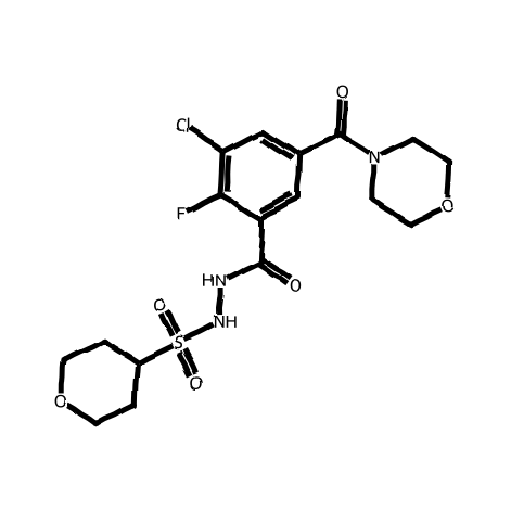 O=C(NNS(=O)(=O)C1CCOCC1)c1cc(C(=O)N2CCOCC2)cc(Cl)c1F